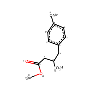 COc1ccc(CC(CC(=O)OC(C)(C)C)C(=O)O)cc1